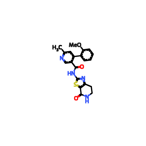 COc1ccccc1-c1cc(C)ncc1C(=O)Nc1nc2c(s1)C(=O)NCC2